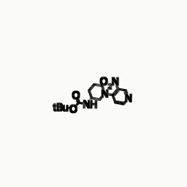 CC(C)(C)OC(=O)N[C@@H]1CCCN(c2ccncc2[N+](=O)[O-])C1